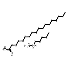 CCCCCCCCCCCCCCCCCC(=O)O.CCCCCNN